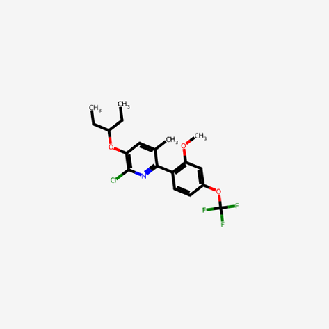 CCC(CC)Oc1cc(C)c(-c2ccc(OC(F)(F)F)cc2OC)nc1Cl